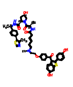 CCN(CCCCCC(=O)N[C@H](C(=O)N1C[C@@H](O)C[C@H]1C(=O)N[C@@H](C)c1ccc(-c2scnc2C)cc1)C(C)(C)C)CCOc1ccc(C(=O)c2c(-c3ccc(O)cc3)sc3cc(O)ccc23)cc1